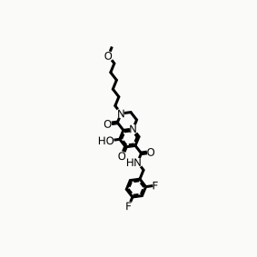 COCCCCCCN1CCn2cc(C(=O)NCc3ccc(F)cc3F)c(=O)c(O)c2C1=O